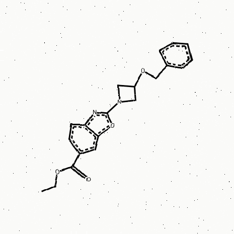 CCOC(=O)c1ccc2nc(N3CC(OCc4ccccc4)C3)oc2c1